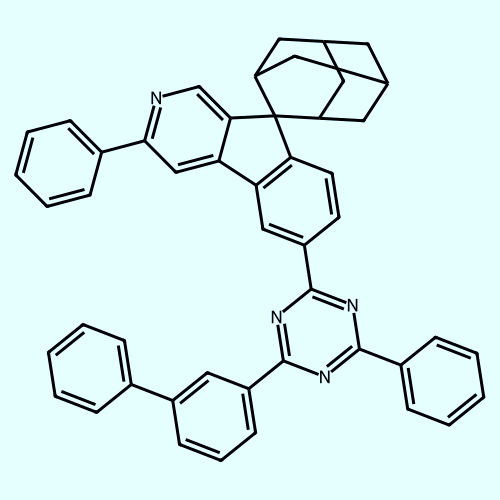 c1ccc(-c2cccc(-c3nc(-c4ccccc4)nc(-c4ccc5c(c4)-c4cc(-c6ccccc6)ncc4C54C5CC6CC(C5)CC4C6)n3)c2)cc1